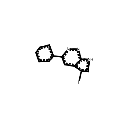 Ic1c[nH]c2nnc(-c3ccccc3)cc12